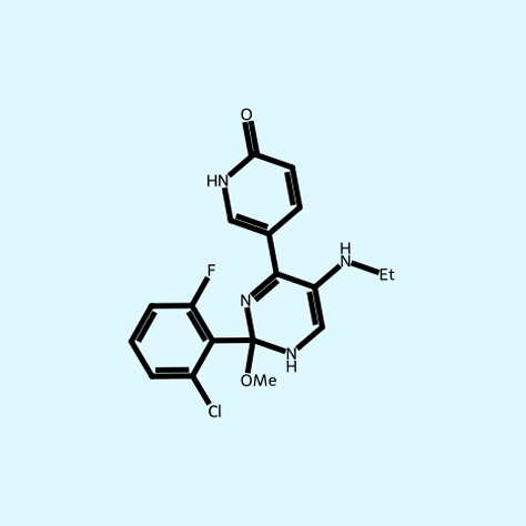 CCNC1=CNC(OC)(c2c(F)cccc2Cl)N=C1c1ccc(=O)[nH]c1